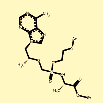 CC(=O)SCCOP(=O)(CO[C@H](C)Cn1cnc2c(N)ncnc21)N[C@@H](C)C(=O)OC(C)C